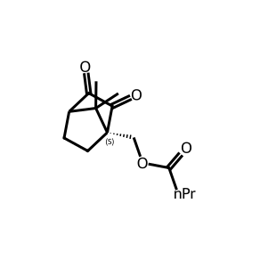 CCCC(=O)OC[C@@]12CCC(C(=O)C1=O)C2(C)C